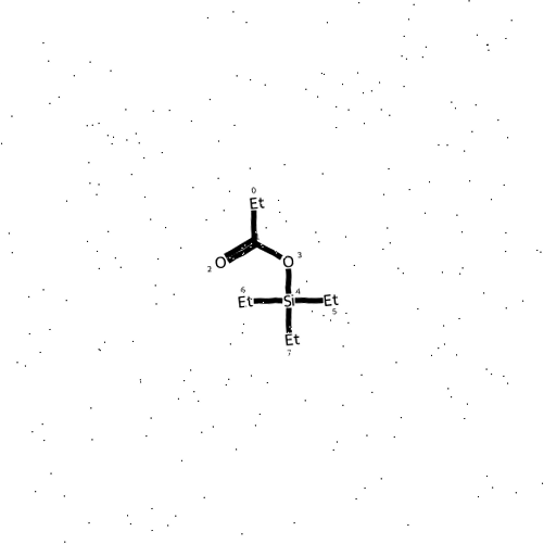 CCC(=O)O[Si](CC)(CC)CC